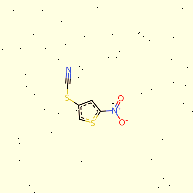 N#CSc1csc([N+](=O)[O-])c1